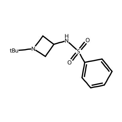 CC(C)(C)N1CC(NS(=O)(=O)c2ccccc2)C1